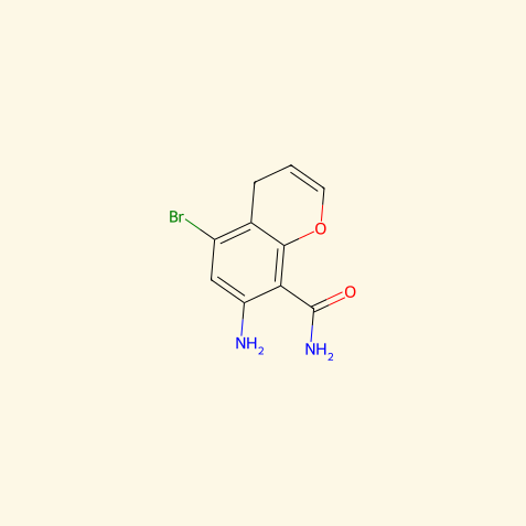 NC(=O)c1c(N)cc(Br)c2c1OC=CC2